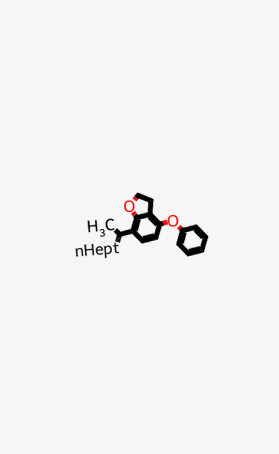 CCCCCCCC(C)c1ccc(Oc2ccccc2)c2c1OCC2